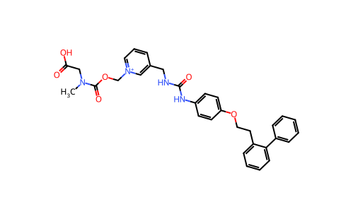 CN(CC(=O)O)C(=O)OC[n+]1cccc(CNC(=O)Nc2ccc(OCCc3ccccc3-c3ccccc3)cc2)c1